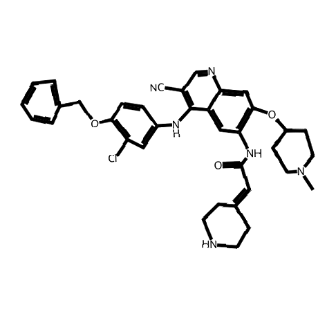 CN1CCC(Oc2cc3ncc(C#N)c(Nc4ccc(OCc5ccccc5)c(Cl)c4)c3cc2NC(=O)C=C2CCNCC2)CC1